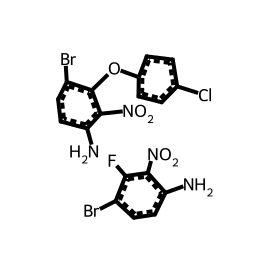 Nc1ccc(Br)c(F)c1[N+](=O)[O-].Nc1ccc(Br)c(Oc2ccc(Cl)cc2)c1[N+](=O)[O-]